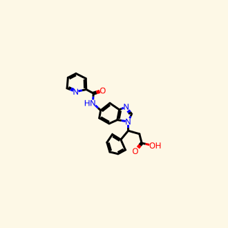 O=C(O)CC(c1ccccc1)n1cnc2cc(NC(=O)c3ccccn3)ccc21